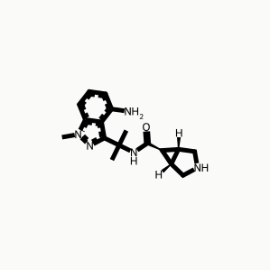 Cn1nc(C(C)(C)NC(=O)[C@H]2[C@@H]3CNC[C@@H]32)c2c(N)cccc21